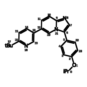 CC(C)Oc1ccc(-c2cnc3ccc(-c4ccc(C(C)(C)C)nc4)cn23)cc1